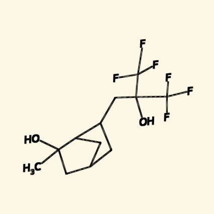 CC1(O)CC2CC(CC(O)(C(F)(F)F)C(F)(F)F)C1C2